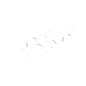 CC(C=C[C@@]1(O)C(C)=C(CC(=O)N(C)C)C(=O)CC1(C)C)=CC(=O)O